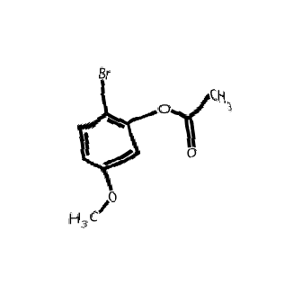 COc1ccc(Br)c(OC(C)=O)c1